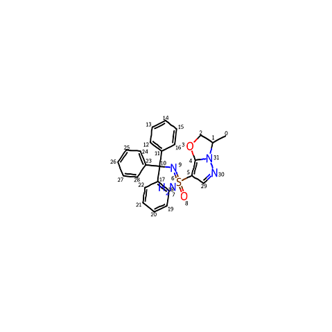 CC1COc2c(S(N)(=O)=NC(c3ccccc3)(c3ccccc3)c3ccccc3)cnn21